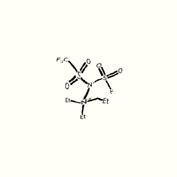 CC[N+](CC)(CC)[N+](S(=O)(=O)F)S(=O)(=O)C(F)(F)F